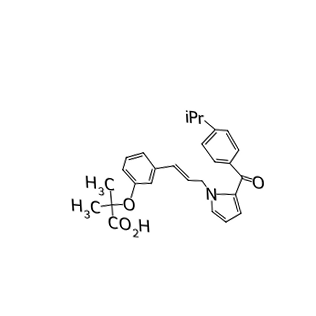 CC(C)c1ccc(C(=O)c2cccn2C/C=C/c2cccc(OC(C)(C)C(=O)O)c2)cc1